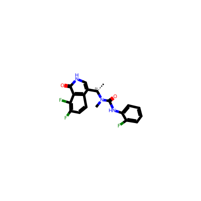 C[C@@H](c1c[nH]c(=O)c2c(F)c(F)ccc12)N(C)C(=O)Nc1ccccc1F